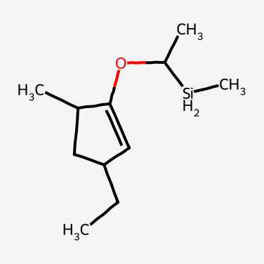 CCC1C=C(OC(C)[SiH2]C)C(C)C1